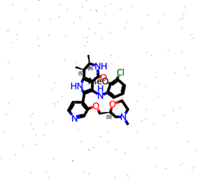 COc1c(Cl)cccc1Nc1c(-c2ccncc2OC[C@@H]2CN(C)CCO2)[nH]c2c1C(=O)N[C@H](C)[C@@H]2C